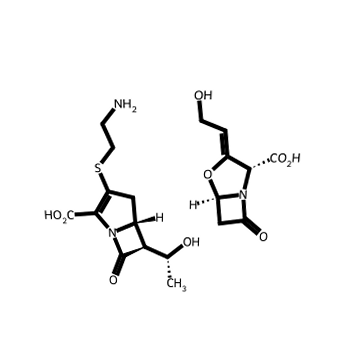 C[C@@H](O)[C@H]1C(=O)N2C(C(=O)O)=C(SCCN)C[C@H]12.O=C(O)[C@H]1/C(=C/CO)O[C@@H]2CC(=O)N21